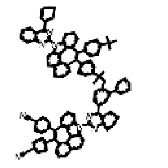 CC(C)(C)c1ccc(C2=C(c3ccc(C(C)(C)Cc4ccc(-c5nc(-n6c7cccc8c7c7c9c(cccc9ccc76)C(c6ccc(C#N)cc6)=C8c6ccc(C#N)cc6)nc6ccccc56)cc4-c4ccccc4)cc3)c3cccc4ccc5c(c34)c3c2cccc3n5-c2nc(C3=CCCC=C3)c3ccccc3n2)cc1